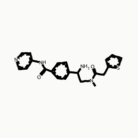 CN(CC(N)c1ccc(C(=O)Nc2ccncc2)cc1)C(=O)Cc1cccs1